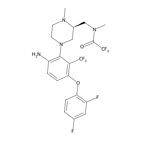 CN(C[C@H]1CN(c2c(N)ccc(Oc3ccc(F)cc3F)c2C(F)(F)F)CCN1C)C(=O)C(F)(F)F